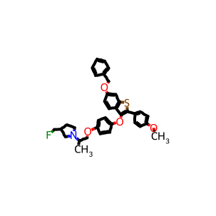 COc1ccc(-c2sc3cc(OCc4ccccc4)ccc3c2Oc2ccc(OCC(C)N3CCC(CF)C3)cc2)cc1